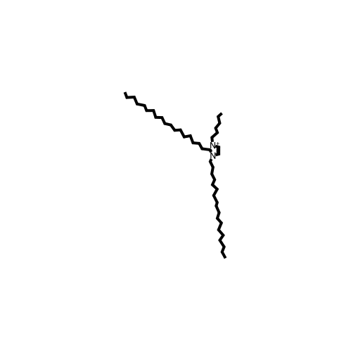 CCCCCCCCCCCCCCCCCCc1n(CCCCCCCCCCCCCCCCCC)cc[n+]1CCCCCC